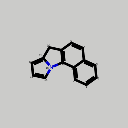 c1ccc2c3c(ccc2c1)Cc1cccn1-3